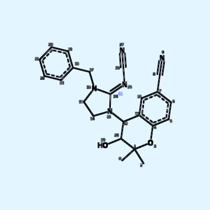 CC1(C)Oc2ccc(C#N)cc2C(N2CCN(Cc3ccccc3)/C2=N\C#N)C1O